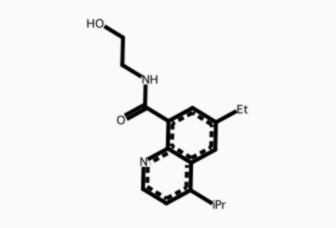 CCc1cc(C(=O)NCCO)c2nccc(C(C)C)c2c1